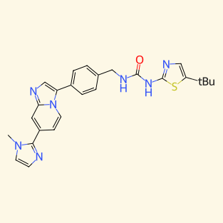 Cn1ccnc1-c1ccn2c(-c3ccc(CNC(=O)Nc4ncc(C(C)(C)C)s4)cc3)cnc2c1